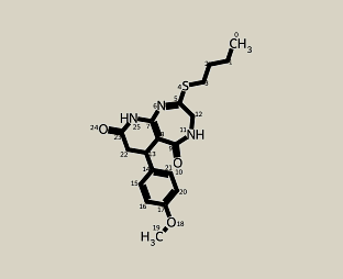 CCCCSC1=NC2=C(C(=O)NC1)C(c1ccc(OC)cc1)CC(=O)N2